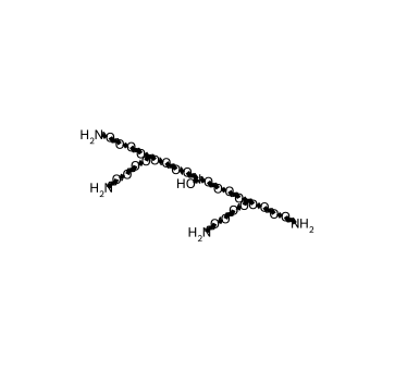 NCCOCCOCCOCCOCC(COCCOCCOCCOCCN(CO)CCOCCOCCOCCOCC(COCCOCCOCCOCCN)OCCOCCOCCOCCN)OCCOCCOCCOCCN